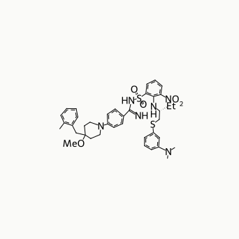 CC[C@H](CSc1cccc(N(C)C)c1)Nc1c([N+](=O)[O-])cccc1S(=O)(=O)NC(=N)c1ccc(N2CCC(Cc3ccccc3C)(OC)CC2)cc1